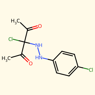 CC(=O)C(Cl)(NNc1ccc(Cl)cc1)C(C)=O